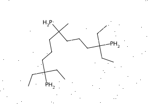 CCC(P)(CC)CCCC(C)(P)CCCC(P)(CC)CC